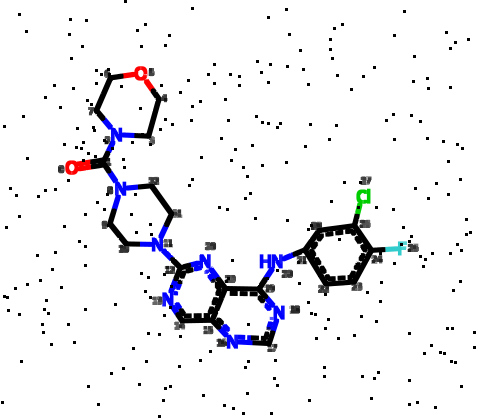 O=C(N1CCOCC1)N1CCN(c2ncc3ncnc(Nc4ccc(F)c(Cl)c4)c3n2)CC1